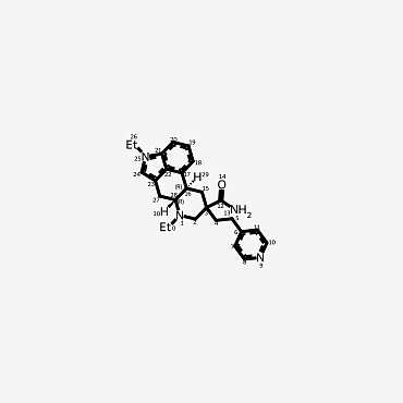 CCN1CC(CCc2ccncc2)(C(N)=O)C[C@@H]2c3cccc4c3c(cn4CC)C[C@H]21